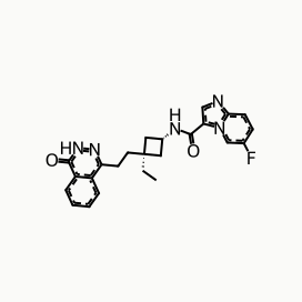 CC[C@]1(CCc2n[nH]c(=O)c3ccccc23)C[C@H](NC(=O)c2cnc3ccc(F)cn23)C1